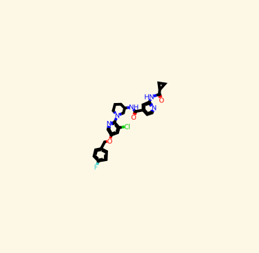 O=C(NC1CCCN(c2ncc(OCc3ccc(F)cc3)cc2Cl)C1)c1ccnc(NC(=O)C2CC2)c1